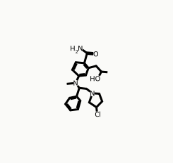 CC(O)Cc1cc(N(C)C(CN2CCC(Cl)C2)c2ccccc2)ccc1C(N)=O